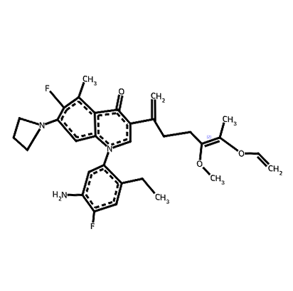 C=CO/C(C)=C(/CCC(=C)c1cn(-c2cc(N)c(F)cc2CC)c2cc(N3CCC3)c(F)c(C)c2c1=O)OC